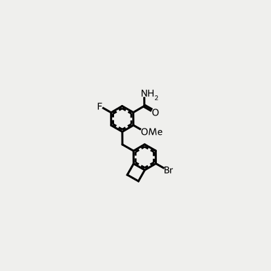 COc1c(Cc2ccc(Br)c3c2CC3)cc(F)cc1C(N)=O